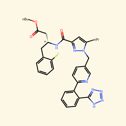 CCCCOC(=O)C[C@@H](Cc1ccccc1F)NC(=O)c1cc(CCC)n(Cc2ccc(-c3ccccc3-c3nnn[nH]3)nc2)n1